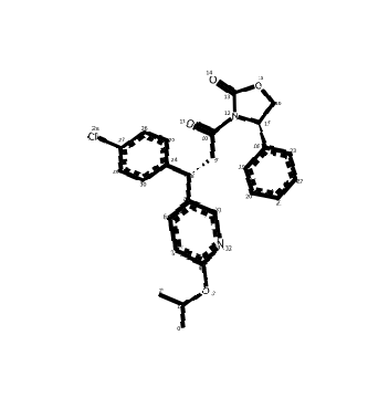 CC(C)Oc1ccc([C@@H](CC(=O)N2C(=O)OC[C@H]2c2ccccc2)c2ccc(Cl)cc2)cn1